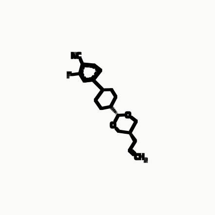 C=CC[C@H]1CO[C@H](C2CCC(c3ccc(C#N)c(F)c3)CC2)OC1